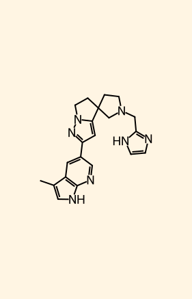 Cc1c[nH]c2ncc(-c3cc4n(n3)CCC43CCN(Cc4ncc[nH]4)C3)cc12